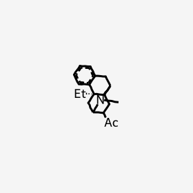 CC[C@@]12CC3C(C(C)=O)CC1C(Cc1ccccc12)N3C